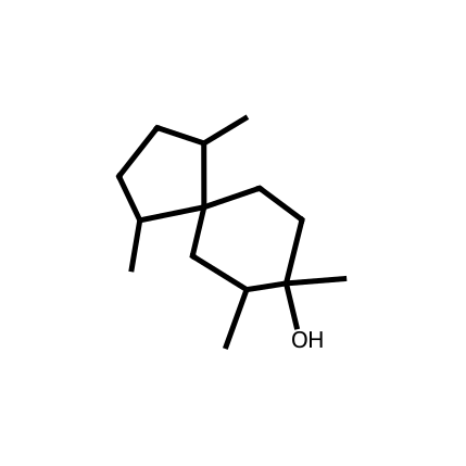 CC1CC2(CCC1(C)O)C(C)CCC2C